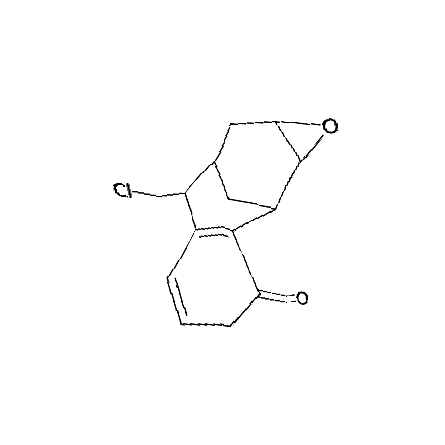 O=C1CC=CC2=C1C1CC(CC3OC31)C2Cl